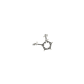 CCCc1cccn1CC